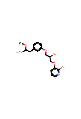 CC(C)OC(Cc1cccc(OCC(O)COc2cccnc2Br)c1)C(=O)O